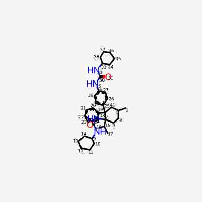 CC1CCC(NC(=O)NC2CCCCC2)(C(C)C)C(c2ccccc2)(c2ccc(NC(=O)NC3CCCCC3)cc2)C1